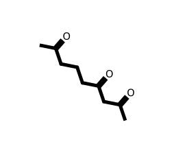 CC(=O)CCCC(=O)CC(C)=O